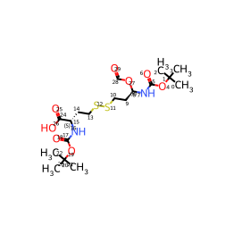 CC(C)(C)OC(=O)N[C@@H](CCSSCC[C@H](NC(=O)OC(C)(C)C)C(=O)O)OC=O